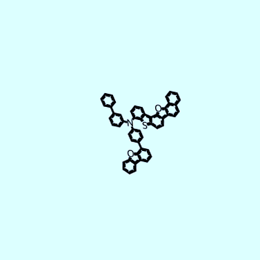 c1ccc(-c2cccc(N(c3ccc(-c4cccc5c4oc4ccccc45)cc3)c3cccc4c3sc3ccc5c6ccc7ccccc7c6oc5c34)c2)cc1